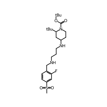 CC(C)(C)OC(=O)N1CCC(NCCCNCc2ccc(S(C)(=O)=O)cc2F)CC1C(C)(C)C